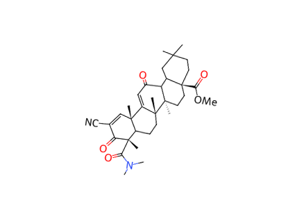 COC(=O)[C@]12CCC(C)(C)CC1C1C(=O)C=C3[C@@]4(C)C=C(C#N)C(=O)[C@@](C)(C(=O)N(C)C)C4CC[C@@]3(C)[C@]1(C)CC2